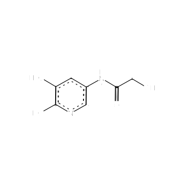 CCC(=O)Nc1cnc(C)c(C)c1